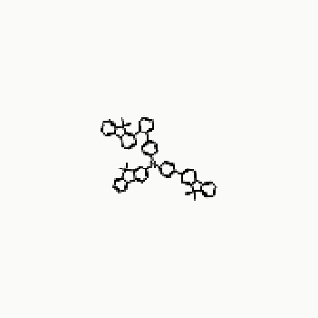 CC1(C)c2ccccc2-c2ccc(-c3ccc(N(c4ccc(-c5ccccc5-c5cccc6c5C(C)(C)c5ccccc5-6)cc4)c4ccc5c(c4)C(C)(C)c4ccccc4-5)cc3)cc21